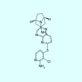 Nc1nccc(Sc2ccc3nc(N4[C@@H]5CC[C@H]4CC(N)C5)cnc3n2)c1Cl